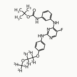 [2H]C([2H])([2H])OC([2H])([2H])C([2H])([2H])Oc1ccc(Nc2ncc(F)c(Nc3cccc(NC(=O)OC(C)(C)C)c3)n2)cc1